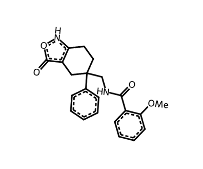 COc1ccccc1C(=O)NCC1(c2ccccc2)CCc2[nH]oc(=O)c2C1